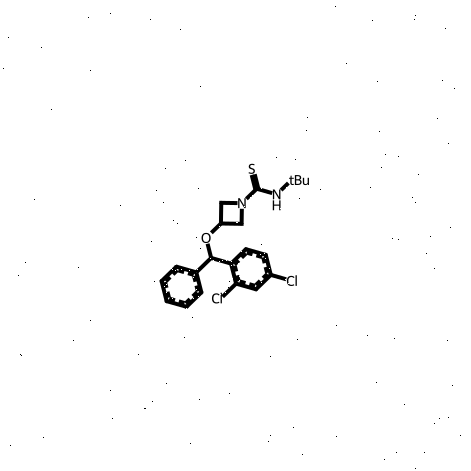 CC(C)(C)NC(=S)N1CC(OC(c2ccccc2)c2ccc(Cl)cc2Cl)C1